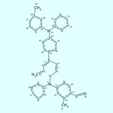 C=C/C=C(\C=C/CN(c1ccccc1)c1ccc(C=O)c(C)c1)c1ccc(N(c2ccccc2)c2cccc(C)c2)cc1